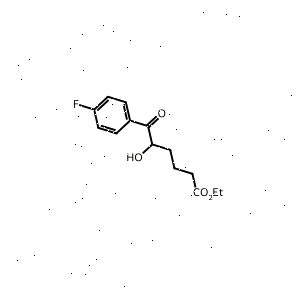 CCOC(=O)CCCC(O)C(=O)c1ccc(F)cc1